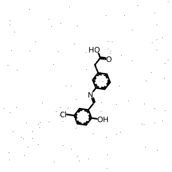 O=C(O)Cc1cccc(/N=C/c2cc(Cl)ccc2O)c1